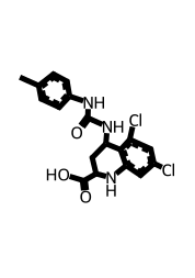 Cc1ccc(NC(=O)NC2CC(C(=O)O)Nc3cc(Cl)cc(Cl)c32)cc1